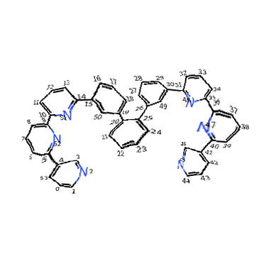 c1cncc(-c2cccc(-c3cccc(-c4cccc(-c5ccccc5-c5cccc(-c6cccc(-c7cccc(-c8cccnc8)n7)n6)c5)c4)n3)n2)c1